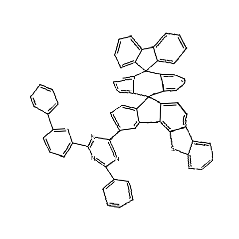 c1ccc(-c2cccc(-c3nc(-c4ccccc4)nc(-c4ccc5c(c4)-c4c(ccc6c4sc4ccccc46)C54c5ccccc5C5(c6ccccc6-c6ccccc65)c5ccccc54)n3)c2)cc1